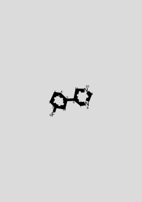 Fc1cccc(-c2cncnc2)c1